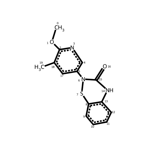 COc1ncc(N2Sc3ccccc3NC2=O)cc1C